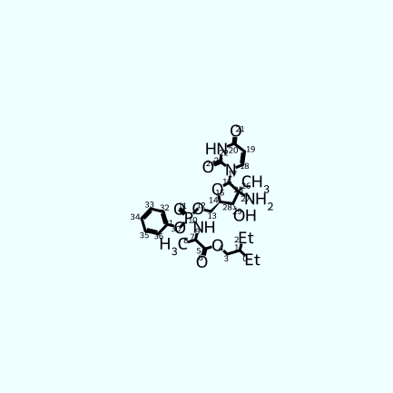 CCC(CC)COC(=O)C(C)NP(=O)(OC[C@H]1O[C@@H](n2ccc(=O)[nH]c2=O)[C@](C)(N)[C@@H]1O)Oc1ccccc1